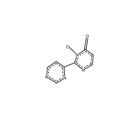 O=c1ccnc(-c2ccncn2)n1Cl